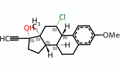 C#C[C@]1(O)CC[C@H]2[C@@H]3CCc4cc(OC)ccc4[C@H]3[C@@H](Cl)C[C@@]21C